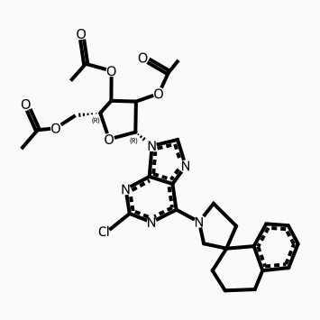 CC(=O)OC[C@H]1O[C@@H](n2cnc3c(N4CCC5(CCCc6ccccc65)C4)nc(Cl)nc32)C(OC(C)=O)C1OC(C)=O